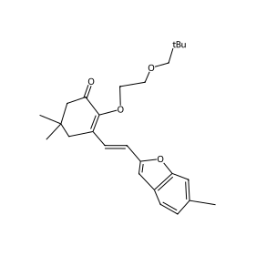 Cc1ccc2cc(/C=C/C3=C(OCCOCC(C)(C)C)C(=O)CC(C)(C)C3)oc2c1